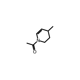 CC(=O)N1C=CC(C)CC1